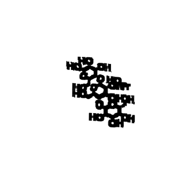 CC(C)O.OC[C@H]1O[C@@H](O[C@H]2[C@H](O)[C@@H](O)[C@H](O[C@H]3[C@H](O)[C@@H](O)C(O)O[C@@H]3CO)O[C@@H]2CO)[C@H](O)[C@@H](O)[C@@H]1O